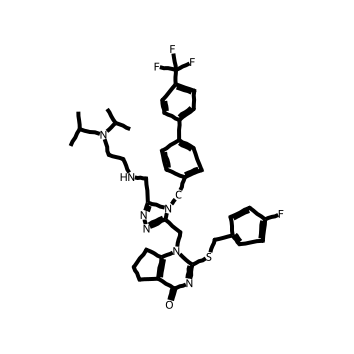 CC(C)N(CCNCc1nnc(Cn2c(SCc3ccc(F)cc3)nc(=O)c3c2CCC3)n1Cc1ccc(-c2ccc(C(F)(F)F)cc2)cc1)C(C)C